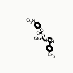 CC(C)(C)[C@@H](Cn1ccnc1-c1ccc(C(F)(F)F)cc1)OC(=O)Oc1ccc([N+](=O)[O-])cc1